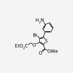 CCOC(=O)COc1c(C(=O)OC)sc(-c2cccc(N)c2)c1Br